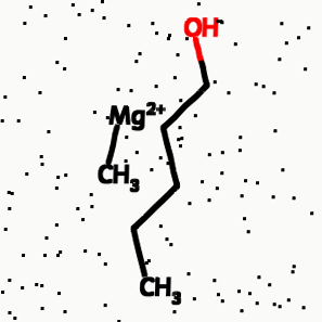 CCCCCO.[CH3][Mg+2]